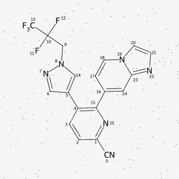 N#Cc1ccc(-c2cnn(CC(F)(F)C(F)(F)F)c2)c(-c2ccn3ccnc3c2)n1